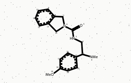 CNC(CNC(=O)N1Cc2ccccc2C1)c1ccc(OC)cc1